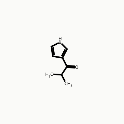 CC(C)C(=O)C1=CBC=C1